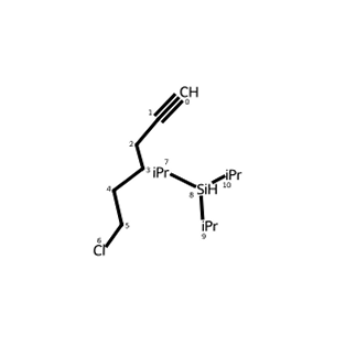 C#CCCCCCl.CC(C)[SiH](C(C)C)C(C)C